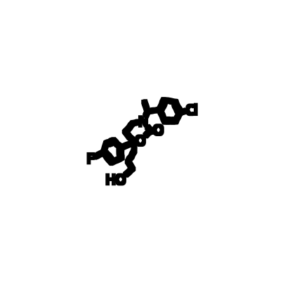 CC(c1ccc(Cl)cc1)N1CCC(CCCO)(c2ccc(F)cc2)OC1=O